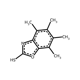 Cc1c(C)c(C)c2oc(S)nc2c1C